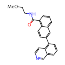 COCCNC(=O)c1cccc2cc(-c3cccc4cnccc34)ccc12